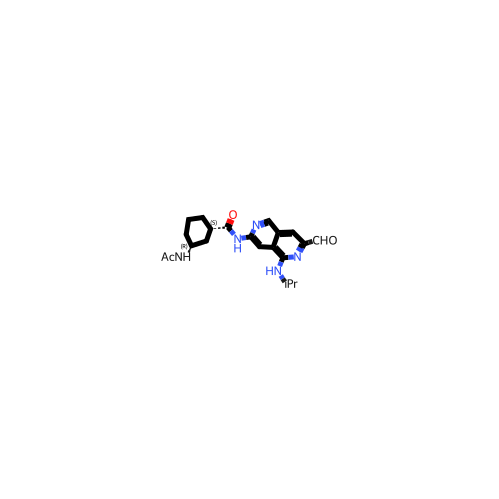 CC(=O)N[C@@H]1CCC[C@H](C(=O)Nc2cc3c(NC(C)C)nc(C=O)cc3cn2)C1